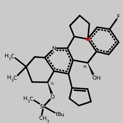 CC1(C)Cc2nc(C3CCCC3)c([C@H](O)c3ccc(F)cc3)c(C3=CCCC3)c2[C@@H](O[Si](C)(C)C(C)(C)C)C1